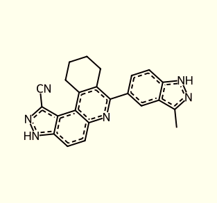 Cc1n[nH]c2ccc(-c3nc4ccc5[nH]nc(C#N)c5c4c4c3CCCC4)cc12